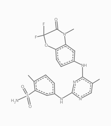 Cc1ccc(Nc2ncc(C)c(Nc3ccc4c(c3)N(C)C(=O)C(F)(F)O4)n2)cc1S(N)(=O)=O